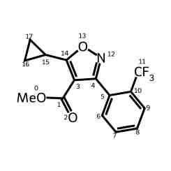 COC(=O)c1c(-c2ccccc2C(F)(F)F)noc1C1CC1